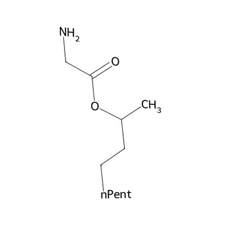 CCCCCCCC(C)OC(=O)CN